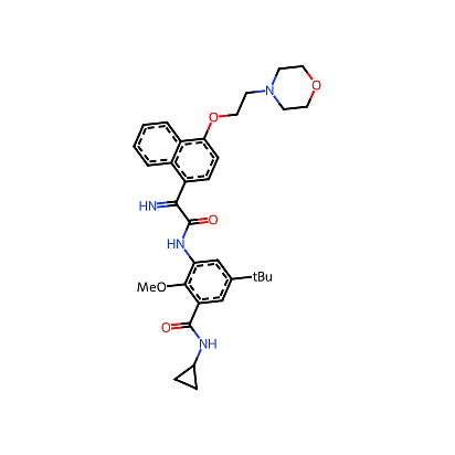 COc1c(NC(=O)C(=N)c2ccc(OCCN3CCOCC3)c3ccccc23)cc(C(C)(C)C)cc1C(=O)NC1CC1